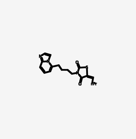 CCCC=C1SC(=O)N(CCCCc2cccc3nccn23)C1=O